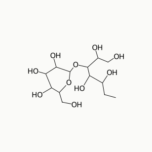 CCC(O)C(O)C(OC1OC(CO)C(O)C(O)C1O)C(O)CO